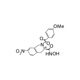 COc1ccc(S(=O)(=O)N2Cc3cc([N+](=O)[O-])ccc3C[C@@H]2C(=O)NO)cc1